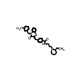 CCC1CCCCN1CCCNC(=O)c1ccc(C=C2Sc3ccccc3N(Cc3cccc(C)c3)C2=O)cc1